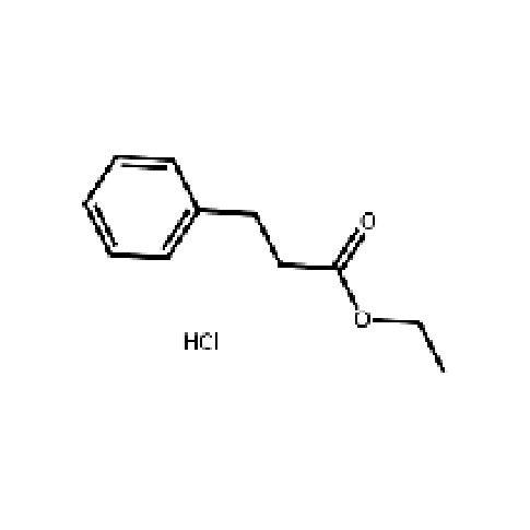 CCOC(=O)CCc1ccccc1.Cl